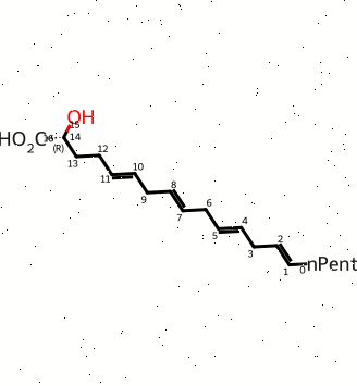 CCCCCC=CCC=CCC=CCC=CCC[C@@H](O)C(=O)O